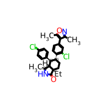 CC[C@@]12CC[C@@H](c3ccc(-c4c(C)noc4C)cc3Cl)[C@H](c3ccc(Cl)cc3)[C@@H]1[C@@H](C)NC2=O